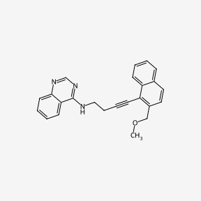 COCc1ccc2ccccc2c1C#CCCNc1ncnc2ccccc12